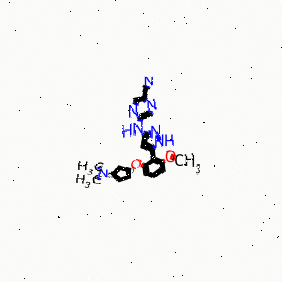 COc1cccc(O[C@@H]2CC[C@H](N(C)C)C2)c1-c1cc(Nc2cnc(C#N)cn2)n[nH]1